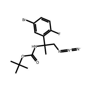 CC(C)(C)OC(=O)NC(C)(CN=[N+]=[N-])c1cc(Br)ccc1F